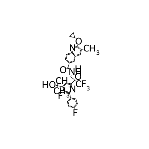 Cc1cc2cc(C(=O)NCC(O)(c3cc(C(C)(C)O)c(F)c(-c4ccc(F)cc4)n3)C(F)(F)F)ccc2nc1OC1CC1